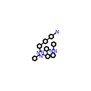 N#Cc1ccc(-c2ccc(-c3cccc(-c4nc(-c5ccccc5)nc(-c5ccccc5-c5ccccc5-n5c(-c6ccccc6)nc6ccccc65)n4)c3)cc2)cc1